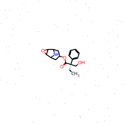 CC[C@](CO)(C(=O)OC1CC2NC(C1)C1OC21)c1ccccc1